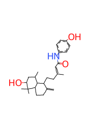 C=C1CCC2C(C(C)CC(O)C2(C)C)C1CCC(C)=CC(=O)Nc1ccc(O)cc1